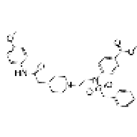 COC(=O)c1ccc(N(CCN2CCC(CC(=O)Nc3ccc(OC)cc3)CC2)S(=O)(=O)Cc2ccccc2)cc1